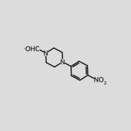 O=[C]N1CCN(c2ccc([N+](=O)[O-])cc2)CC1